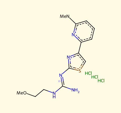 CNc1cccc(-c2csc(/N=C(\N)NCCOC)n2)n1.Cl.Cl.Cl